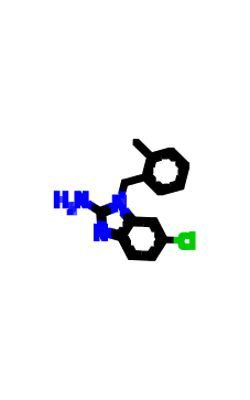 Cc1ccccc1Cn1c(N)nc2ccc(Cl)cc21